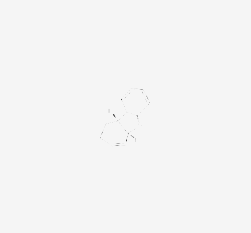 C1=CC2O[C@@H]3C=CCC[C@@H]3C2C=C1